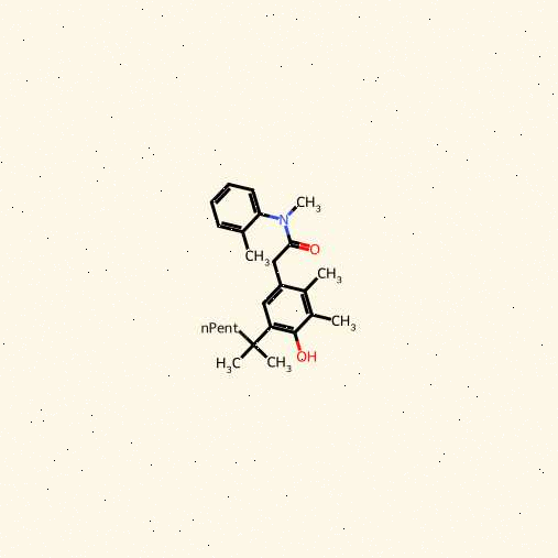 CCCCCC(C)(C)c1cc(CC(=O)N(C)c2ccccc2C)c(C)c(C)c1O